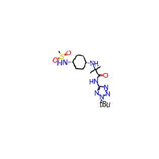 CC(C)(N[C@H]1CC[C@@H](NS(C)(=O)=O)CC1)C(=O)Nc1nnn(C(C)(C)C)n1